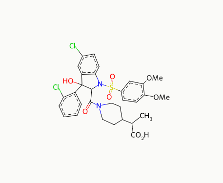 COc1ccc(S(=O)(=O)N2c3ccc(Cl)cc3C(O)(c3ccccc3Cl)C2C(=O)N2CCC(C(C)C(=O)O)CC2)cc1OC